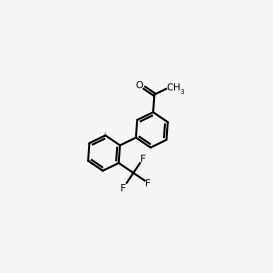 CC(=O)c1cccc(-c2[c]cccc2C(F)(F)F)c1